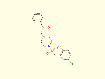 O=C(CN1CCN(S(=O)(=O)Cc2cc(Cl)ccc2Cl)CC1)c1ccccc1